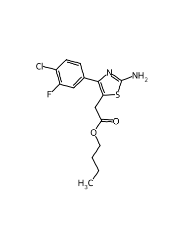 CCCCOC(=O)Cc1sc(N)nc1-c1ccc(Cl)c(F)c1